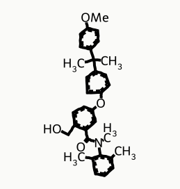 COc1ccc(C(C)(C)c2ccc(Oc3ccc(CO)c(C(=O)N(C)c4c(C)cccc4C)c3)cc2)cc1